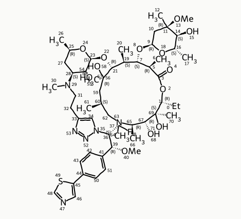 CC[C@H]1OC(=O)[C@H](C)[C@@H](O[C@H]2C[C@@](C)(OC)[C@@H](O)[C@H](C)O2)[C@H](C)[C@@H](O[C@@H]2O[C@H](C)C[C@H](N(C)CCc3cn([C@H](CF)[C@H](OC)c4ccc(-c5cncs5)cc4)nn3)[C@H]2O)[C@](C)(O)C[C@H](C)CN(C)[C@H](C)[C@@H](O)[C@]1(C)O